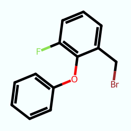 Fc1cccc(CBr)c1Oc1ccccc1